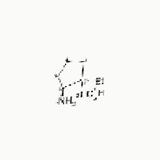 CC[C@@]1(C(=O)O)CCC[C@@H]1N